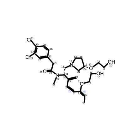 C=C(/C=C\C(=C/C)OCCO)[C@@H](CN1CC[C@H](OCCO)C1)N(C)C(=O)Cc1ccc(Cl)c(Cl)c1